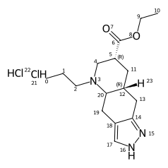 CCCN1C[C@H](C(=O)OCC)C[C@@H]2Cc3n[nH]cc3CC21.Cl.Cl